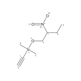 C#C[Si](C)(C)OCC(CC)[N+](=O)[O-]